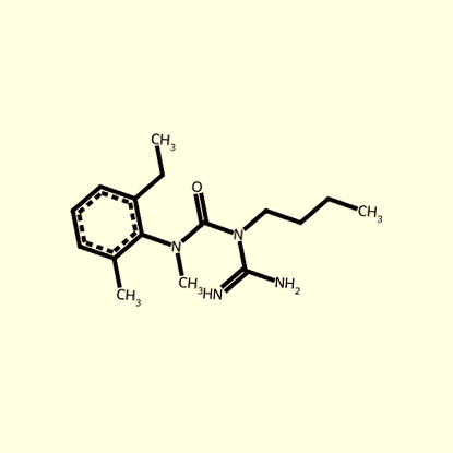 CCCCN(C(=N)N)C(=O)N(C)c1c(C)cccc1CC